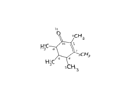 CC1=C(C)C(C)C(C)C(C)C1=O